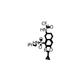 CC(C)CNS(=O)(=O)c1c2c(cc3oc(C4CC4)nc13)CCC(NC(=O)C(F)(F)F)C2